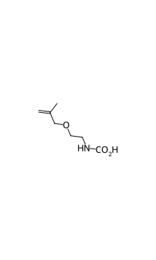 C=C(C)COCCNC(=O)O